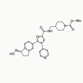 CC(C)(C)OC(=O)N1CCC(CNC(=O)c2cc(-c3ccncc3)c(-c3ccc4c(c3)CCC4=NO)o2)CC1